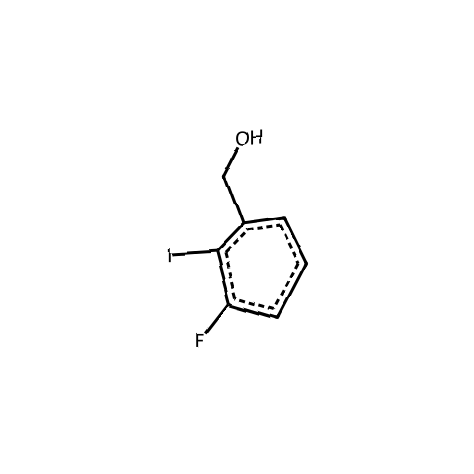 OCc1cccc(F)c1I